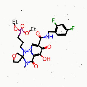 CCOP(=O)(CCCN1n2cc(C(=O)NCc3ccc(F)cc3F)c(=O)c(O)c2C(=O)N(C)C12CCOC2)OCC